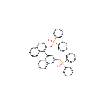 O=P(Cc1cc(-c2c(CP(=O)(c3ccccc3)c3ccccc3)ccc3ccccc23)c2ccccc2c1)(c1ccccc1)c1ccccc1